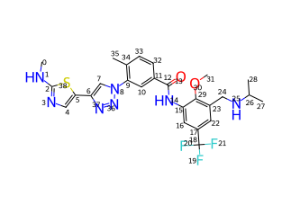 CNc1ncc(-c2cn(-c3cc(C(=O)Nc4cc(C(F)(F)F)cc(CNC(C)C)c4OC)ccc3C)nn2)s1